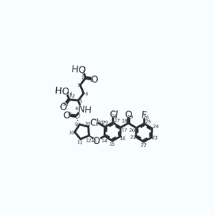 O=C(O)CCC(NC(=O)[C@H]1CC[C@H](Oc2ccc(C(=O)c3ccccc3F)c(Cl)c2Cl)C1)C(=O)O